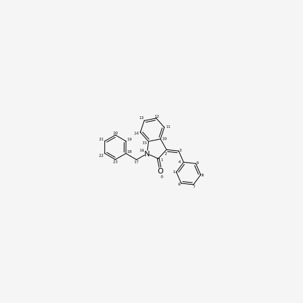 O=C1C(=Cc2ccccc2)c2ccccc2N1Cc1ccccc1